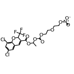 CC(OC(=O)OCCOCCO[N+](=O)[O-])OC(=O)C1=Cc2cc(Cl)cc(Cl)c2OC1C(F)(F)F